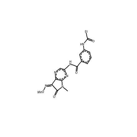 CCC(=O)Nc1cccc(C(=O)Nc2cnc3c(n2)N(C)C(=O)/C3=N\OC)c1